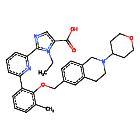 CCn1c(C(=O)O)cnc1-c1cccc(-c2cccc(C)c2OCc2ccc3c(c2)CCN(C2CCOCC2)C3)n1